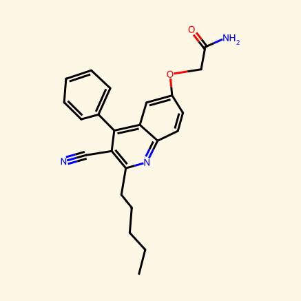 CCCCCc1nc2ccc(OCC(N)=O)cc2c(-c2ccccc2)c1C#N